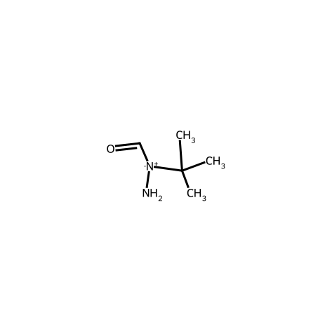 CC(C)(C)[N+](N)C=O